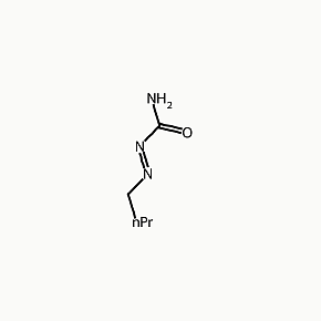 CCCCN=NC(N)=O